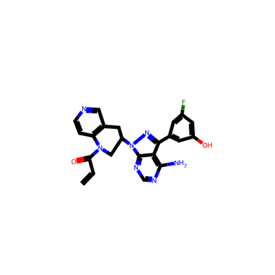 C=CC(=O)N1CC(n2nc(-c3cc(O)cc(F)c3)c3c(N)ncnc32)Cc2cnccc21